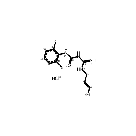 CCC=CCNC(=N)NC(=O)Nc1c(C)cccc1C.Cl